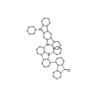 O=C1c2ccccc2-c2c1cccc2-c1cccc2c1B(c1ccccc1)c1c-2cccc1-n1c2ccccc2c2cc3c4ccccc4n(-c4ccccc4)c3cc21